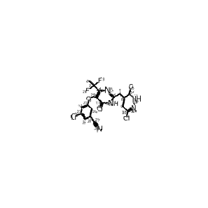 CC(F)(F)c1nc(Cc2cc(Cl)n[nH]c2=O)[nH]c(=O)c1Oc1cc(Cl)cc(C#N)c1